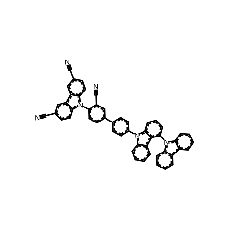 N#Cc1ccc2c(c1)c1cc(C#N)ccc1n2-c1ccc(-c2ccc(-n3c4ccccc4c4c(-n5c6ccccc6c6ccccc65)cccc43)cc2)cc1C#N